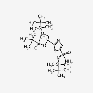 CC(C)(C)[Si](C)(C)N=S(N)(=O)c1cnc(C(CO[Si](C)(C)C(C)(C)C)O[Si](C)(C)C(C)(C)C)s1